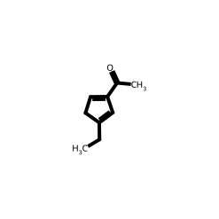 CCC1=CC(C(C)=O)=CC1